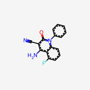 N#Cc1c(N)c2c(F)cccc2n(-c2ccccc2)c1=O